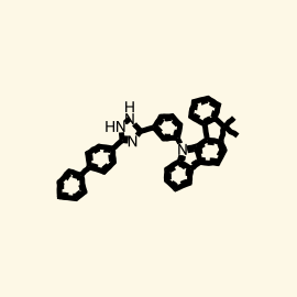 CC1(C)c2ccccc2-c2c1ccc1c3ccccc3n(-c3cccc(C4N=C(c5ccc(-c6ccccc6)cc5)NN4)c3)c21